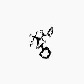 O=C(n1cncn1)n1nc(-c2ccccc2)nc1C(F)(F)F